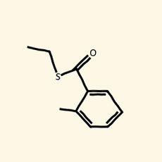 CCSC(=O)c1ccccc1C